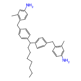 CCCCCCCC(c1ccc(Cc2ccc(N)cc2C)cc1)c1ccc(Cc2ccc(N)cc2C)cc1